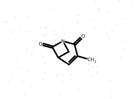 CC1=CC2CN(C1=O)C2=O